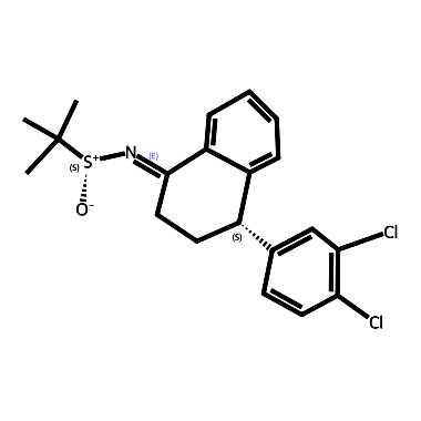 CC(C)(C)[S@@+]([O-])/N=C1\CC[C@@H](c2ccc(Cl)c(Cl)c2)c2ccccc21